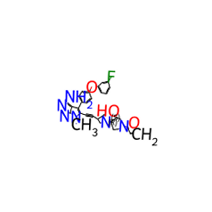 C=CC(=O)N1CC[C@@H](N2CC(C#Cc3c(-c4ccc(Oc5cccc(F)c5)cc4)c4c(N)ncnc4n3C)C2)[C@@H](O)C1